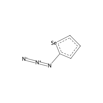 [N-]=[N+]=Nc1ccc[se]1